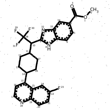 COC(=O)c1ccc2[nH]c(C(C3CCC(c4ccnc5ccc(F)cc45)CC3)C(F)(F)F)nc2c1